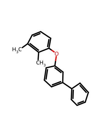 Cc1cccc(Oc2cccc(-c3ccccc3)c2)c1C